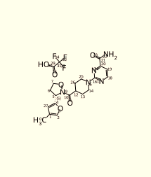 Cc1coc([C@@H]2CCON2C(=O)C2CCN(c3nccc(C(N)=O)n3)CC2)c1.O=C(O)C(F)(F)F